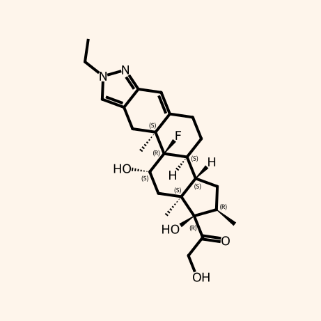 CCn1cc2c(n1)C=C1CC[C@H]3[C@@H]4C[C@@H](C)[C@](O)(C(=O)CO)[C@@]4(C)C[C@H](O)[C@]3(F)[C@@]1(C)C2